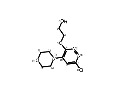 OCCOc1nnc(Cl)cc1N1CCOCC1